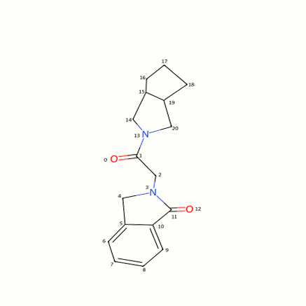 O=C(CN1Cc2ccccc2C1=O)N1CC2CCCC2C1